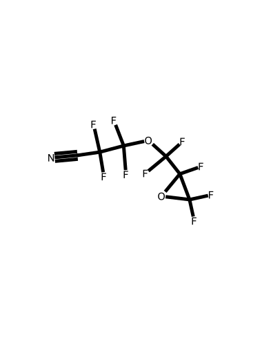 N#CC(F)(F)C(F)(F)OC(F)(F)C1(F)OC1(F)F